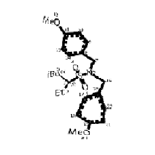 CC[C@H](C)[C@H](CC)S(=O)(=O)N(Cc1ccc(OC)cc1)Cc1ccc(OC)cc1